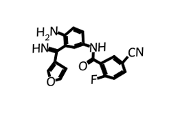 N#Cc1ccc(F)c(C(=O)Nc2ccc(N)c(C(=N)c3ccoc3)c2)c1